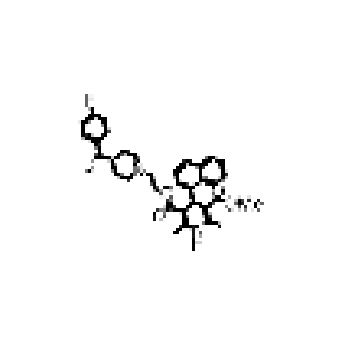 COC(=O)C1=C(C)NC(C)=C(C(=O)OCCN2CCC(C(=O)c3ccc(F)cc3)CC2)C1c1cccc2ccccc12